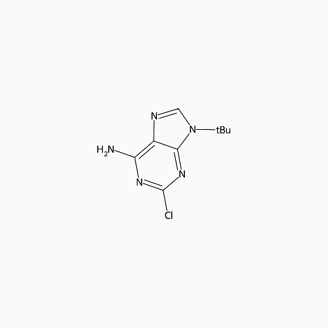 CC(C)(C)n1cnc2c(N)nc(Cl)nc21